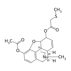 CSCC(=O)OC1C=C[C@H]2[C@H]3Cc4ccc(OC(C)=O)c5c4[C@@]2(CCN3C)C1O5